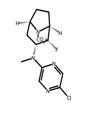 CN(c1cnc(Cl)cn1)[C@@H]1C[C@H]2CC[C@@H]([C@@H]1F)N2C(=O)O